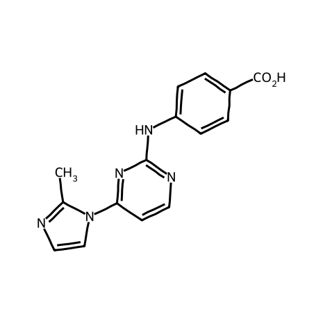 Cc1nccn1-c1ccnc(Nc2ccc(C(=O)O)cc2)n1